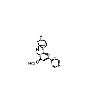 Cl.Cn1c(N2CC3C[C@H]2CN3)nc(-c2ccncn2)cc1=O